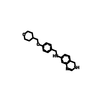 C1=Nc2cc(NCc3ccc(OCC4CCOCC4)cc3)ccc2CN1